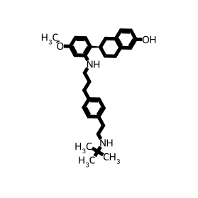 COc1ccc([C@@H]2CCc3cc(O)ccc3C2)c(NCCCc2ccc(CCNC(C)(C)C)cc2)c1